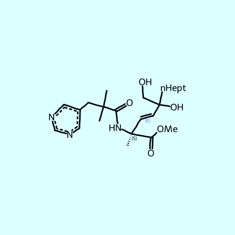 CCCCCCCC(O)(/C=C/[C@](C)(NC(=O)C(C)(C)Cc1cncnc1)C(=O)OC)CO